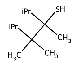 CC(C)C(C)(C)C(C)(S)C(C)C